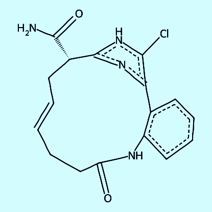 NC(=O)[C@H]1C/C=C/CCC(=O)Nc2ccccc2-c2nc1[nH]c2Cl